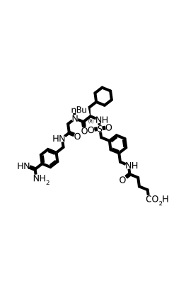 CCCCN(CC(=O)NCc1ccc(C(=N)N)cc1)C(=O)[C@@H](CC1CCCCC1)NS(=O)(=O)Cc1cccc(CNC(=O)CCCC(=O)O)c1